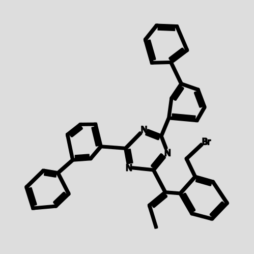 C/C=C(/c1nc(-c2cccc(-c3ccccc3)c2)nc(-c2cccc(-c3ccccc3)c2)n1)c1ccccc1CBr